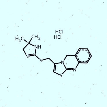 CC1(C)CN=C(SCC2=CSC3=Nc4ccccc4CN23)N1.Cl.Cl